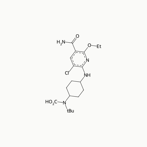 CCOc1nc(NC2CCC(N(C(=O)O)C(C)(C)C)CC2)c(Cl)cc1C(N)=O